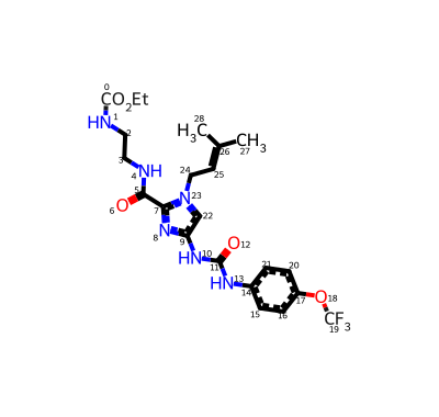 CCOC(=O)NCCNC(=O)c1nc(NC(=O)Nc2ccc(OC(F)(F)F)cc2)cn1CC=C(C)C